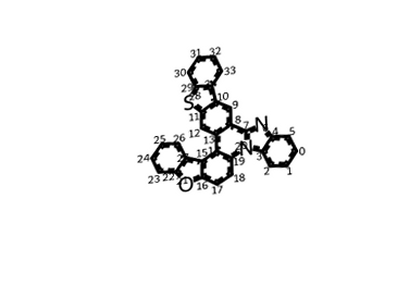 c1ccc2c(c1)nc1c3cc4c(cc3c3c5c(ccc3n21)oc1ccccc15)sc1ccccc14